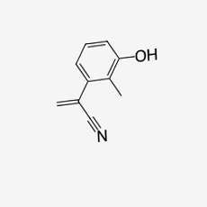 C=C(C#N)c1cccc(O)c1C